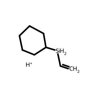 C=C[SiH2]C1CCCCC1.[H+]